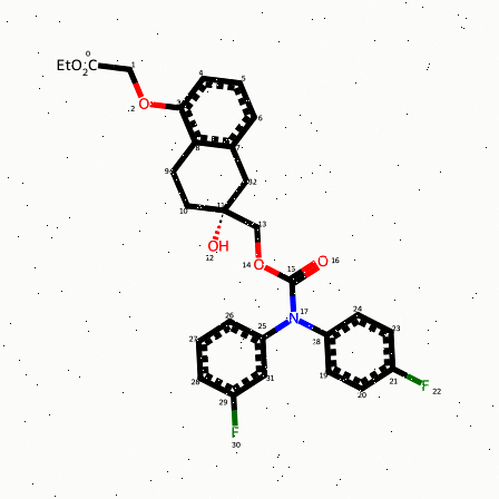 CCOC(=O)COc1cccc2c1CC[C@](O)(COC(=O)N(c1ccc(F)cc1)c1cccc(F)c1)C2